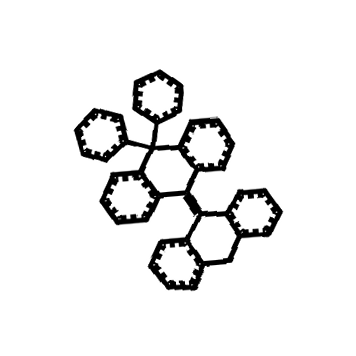 c1ccc(C2(c3ccccc3)c3ccccc3C(=C3c4ccccc4Cc4ccccc43)c3ccccc32)cc1